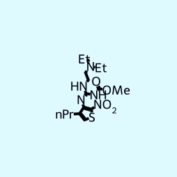 CCCc1csc([N+](=O)[O-])c1N=C(NCCN(CC)CC)NC(=O)OC